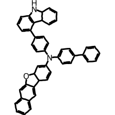 C1=CC2Nc3cccc(-c4ccc(N(C5=CC6Oc7cc8ccccc8cc7C6C=C5)c5ccc(-c6ccccc6)cc5)cc4)c3C2C=C1